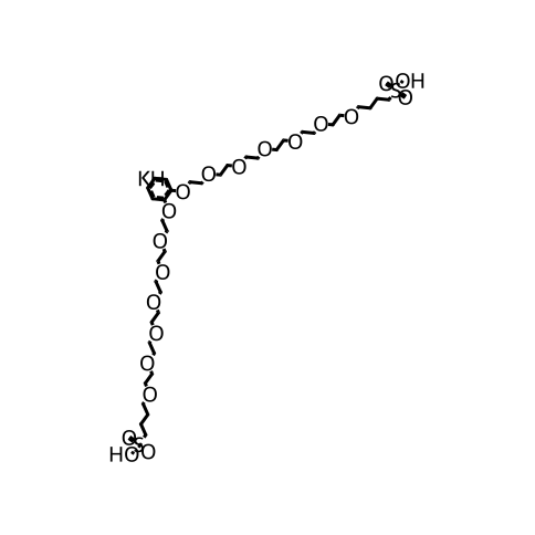 O=S(=O)(O)CCCCOCCOCCOCCOCCOCCOCCOc1ccccc1OCCOCCOCCOCCOCCOCCOCCCCS(=O)(=O)O.[KH]